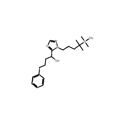 CC(C)(CCCn1ncnc1C(O)CCCc1ccccc1)[Si](C)(C)O